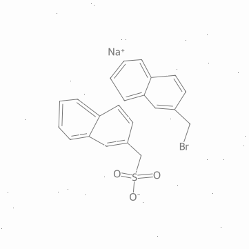 BrCc1ccc2ccccc2c1.O=S(=O)([O-])Cc1ccc2ccccc2c1.[Na+]